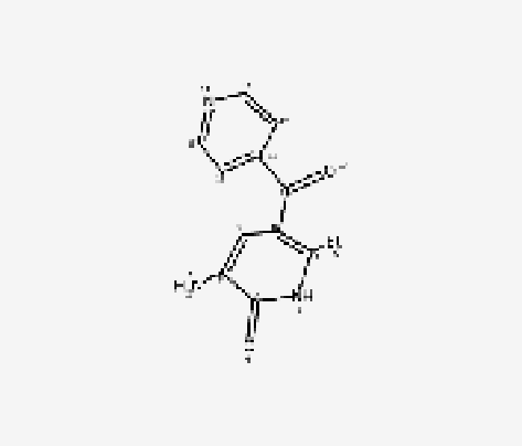 CCc1[nH]c(=O)c(N)cc1C(=O)c1ccncc1